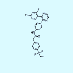 CCC(F)(F)c1ccc(CC(=O)Nc2ccc(-c3nccnc3-c3ccc(Cl)cc3F)cc2)cc1